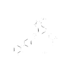 CCC(N)COc1cc(NCc2ccc(-c3ccccc3)cc2)c2ncn(C(C)C)c2n1.Cl